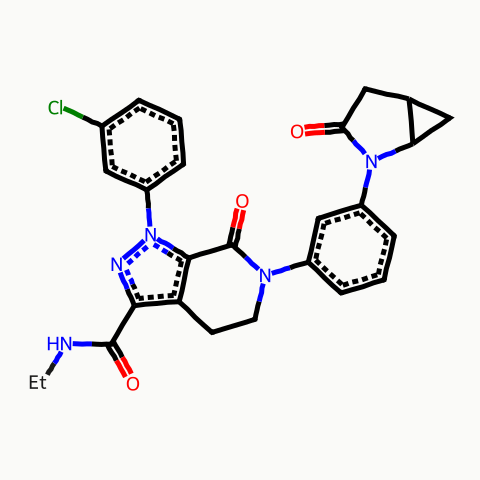 CCNC(=O)c1nn(-c2cccc(Cl)c2)c2c1CCN(c1cccc(N3C(=O)CC4CC43)c1)C2=O